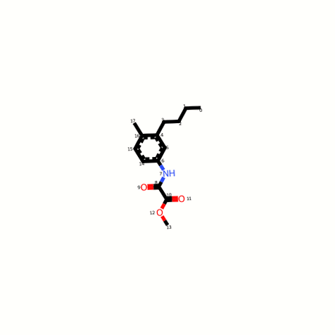 CCCCc1cc(NC(=O)C(=O)OC)ccc1C